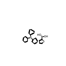 OB(O)c1cccs1.c1ccc(N(c2ccccc2)c2ccccc2)cc1